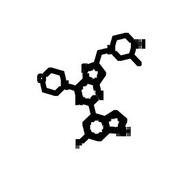 CC1CN(Cc2cc3nc(-c4cc(F)cc5[nH]ccc45)nc(N4CCOCC4)c3s2)CCN1